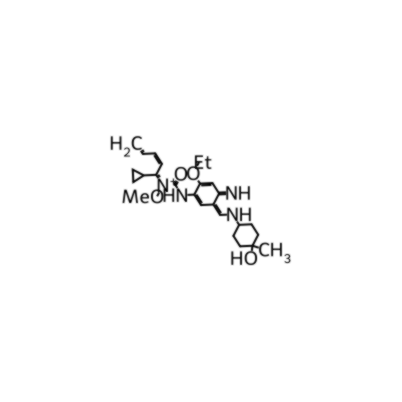 C=C/C=C\C(C1CC1)=[N+](\OC)C(=O)NC1=C/C(=C/NC2CCC(C)(O)CC2)C(=N)C=C1OCC